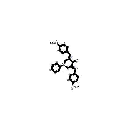 COc1ccc(/C=C2\CN(c3ccccc3)C/C(=C\c3ccc(OC)cc3)C2=O)cc1